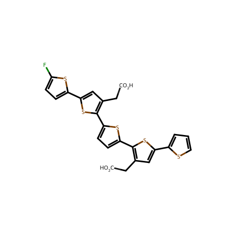 O=C(O)Cc1cc(-c2cccs2)sc1-c1ccc(-c2sc(-c3ccc(F)s3)cc2CC(=O)O)s1